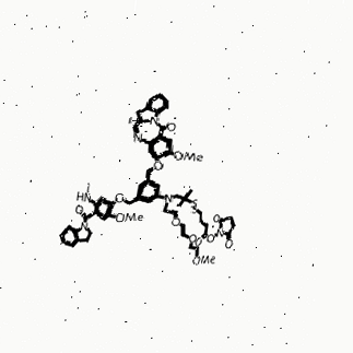 COCCOCCOCCN(CC(C)(C)SSCCCC(=O)ON1C(=O)CCC1=O)c1cc(COc2cc3c(cc2OC)C(=O)N2c4ccccc4C[C@H]2C=N3)cc(COc2cc(NI)c(C(=O)N3CCc4ccccc43)cc2OC)c1